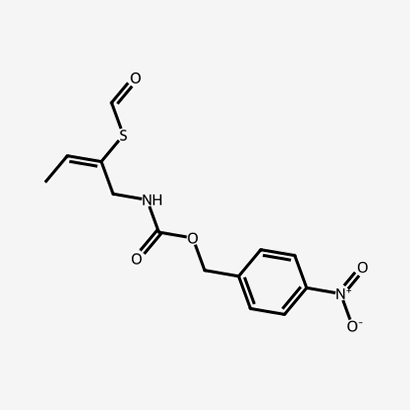 C/C=C(\CNC(=O)OCc1ccc([N+](=O)[O-])cc1)SC=O